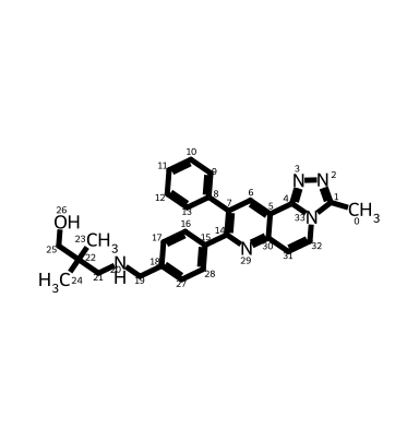 Cc1nnc2c3cc(-c4ccccc4)c(-c4ccc(CNCC(C)(C)CO)cc4)nc3ccn12